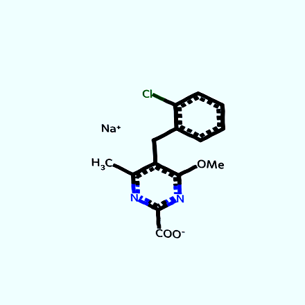 COc1nc(C(=O)[O-])nc(C)c1Cc1ccccc1Cl.[Na+]